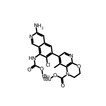 Cc1c(-c2cc3cc(N)ncc3c(NC(=O)OC(C)(C)C)c2Cl)cnc2c1N(C(=O)OC(C)(C)C)CCO2